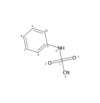 N#CS(=O)(=O)Nc1ccccc1